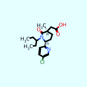 CCC(CC)N1C(=O)[C@@](C)(CC(=O)O)CC[C@H]1c1ccc(Cl)cn1